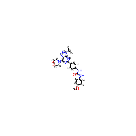 COc1ccc(NC(=O)Nc2ccc(-c3nc(N4CCOCC4)c4nnn(C(C)C)c4n3)cc2)cc1